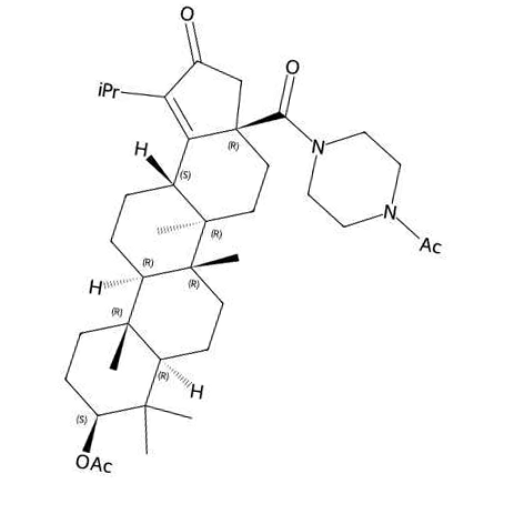 CC(=O)O[C@H]1CC[C@]2(C)[C@H]3CC[C@@H]4C5=C(C(C)C)C(=O)C[C@]5(C(=O)N5CCN(C(C)=O)CC5)CC[C@@]4(C)[C@]3(C)CC[C@H]2C1(C)C